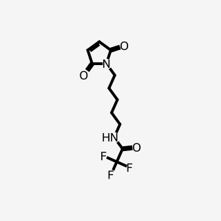 O=C1C=CC(=O)N1CCCCCNC(=O)C(F)(F)F